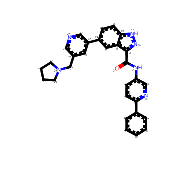 O=C(Nc1ccc(-c2ccccc2)nc1)c1n[nH]c2ccc(-c3cncc(CN4CCCC4)c3)cc12